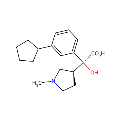 CN1CC[C@H]([C@@](O)(C(=O)O)c2cccc(C3CCCC3)c2)C1